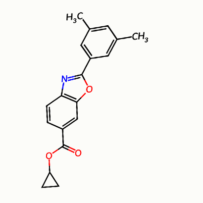 Cc1cc(C)cc(-c2nc3ccc(C(=O)OC4CC4)cc3o2)c1